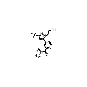 CN(C)C(=O)c1cc(-c2cc(C(F)(F)F)nn2CCO)ccn1